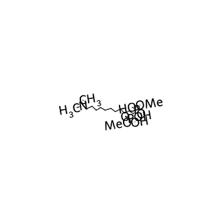 COP(=O)(O)C(O)(CCCCCCCCCCN(C)C)P(=O)(O)OC